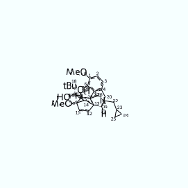 COc1ccc2c3c1O[C@H]1[C@@]4(OC)C=C[C@@]5(C[C@@H]4[C@H](O)C(C)(C)C)[C@@H](C2)N(CC2CC2)CC[C@]315